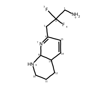 NCC(F)(F)CC1=NC2NCCCC2C=C1